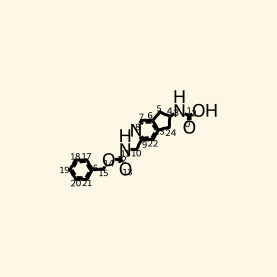 O=C(O)NC1Cc2cnc(CNC(=O)OCc3ccccc3)cc2C1